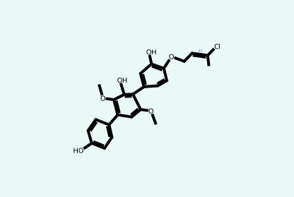 COc1cc(-c2ccc(O)cc2)c(OC)c(O)c1-c1ccc(OC/C=C(\C)Cl)c(O)c1